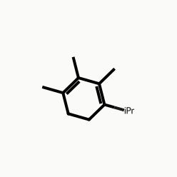 CC1=C(C)C(C)=C(C(C)C)CC1